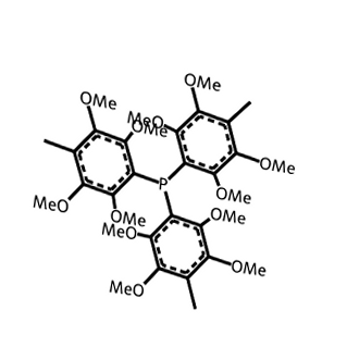 COc1c(C)c(OC)c(OC)c(P(c2c(OC)c(OC)c(C)c(OC)c2OC)c2c(OC)c(OC)c(C)c(OC)c2OC)c1OC